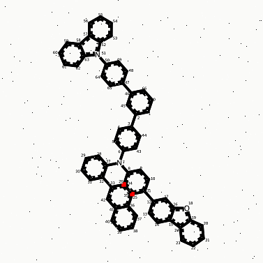 c1cc(-c2ccc(N(c3ccc(-c4ccc5c(c4)oc4ccccc45)cc3)c3ccccc3-c3ccc4ccccc4c3)cc2)cc(-c2ccc(-n3c4ccccc4c4ccccc43)cc2)c1